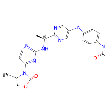 C=CC(=O)Nc1ccc(N(C)c2cnc([C@H](C)Nc3nccc(N4C(=O)OCC4C(C)C)n3)nc2)cc1